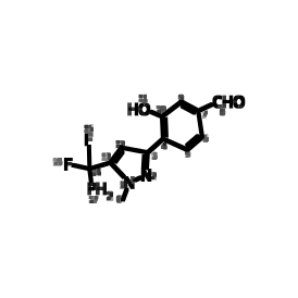 Cn1nc(-c2ccc(C=O)cc2O)cc1C(F)(F)P